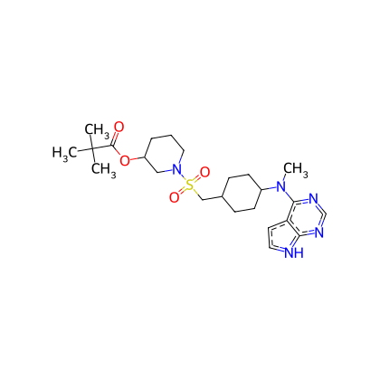 CN(c1ncnc2[nH]ccc12)C1CCC(CS(=O)(=O)N2CCCC(OC(=O)C(C)(C)C)C2)CC1